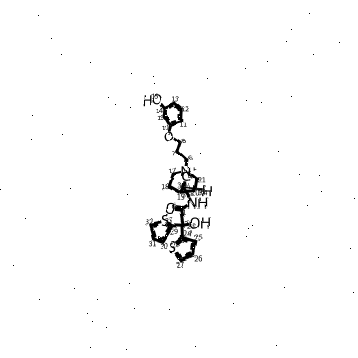 O=C(N[C@H]1C[N+]2(CCCOc3cccc(O)c3)CCC1CC2)C(O)(c1cccs1)c1cccs1